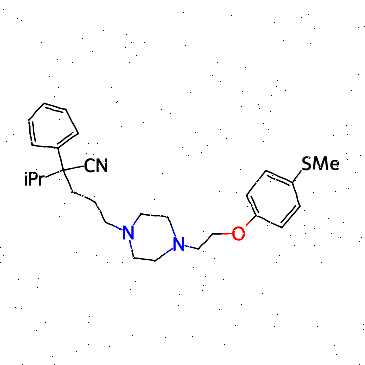 CSc1ccc(OCCN2CCN(CCCC(C#N)(c3ccccc3)C(C)C)CC2)cc1